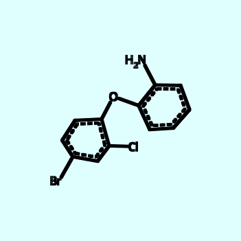 Nc1ccccc1Oc1ccc(Br)cc1Cl